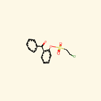 O=C(c1ccccc1)c1ccccc1OS(=O)(=O)CCCl